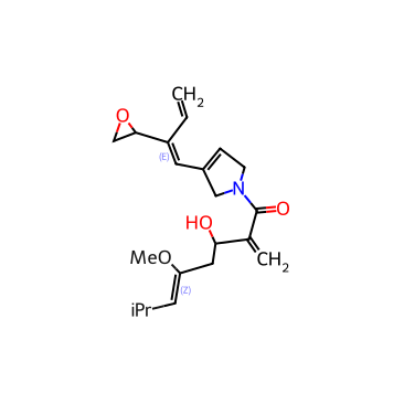 C=C/C(=C\C1=CCN(C(=O)C(=C)C(O)C/C(=C/C(C)C)OC)C1)C1CO1